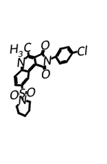 Cc1nc2ccc(S(=O)(=O)N3CCCCC3)cc2c2c1C(=O)N(c1ccc(Cl)cc1)C2=O